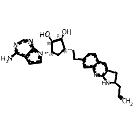 C=CCC1Cc2cc3ccc(CC[C@@H]4C[C@H](n5ccc6c(N)ncnc65)[C@@H](O)[C@H]4O)cc3nc2N1